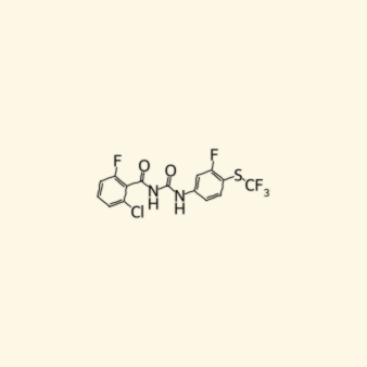 O=C(NC(=O)c1c(F)cccc1Cl)Nc1ccc(SC(F)(F)F)c(F)c1